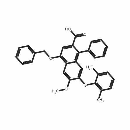 COc1cc2c(OCc3ccccc3)cc(C(=O)O)c(-c3ccccc3)c2cc1Sc1c(C)cccc1C